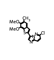 COc1c(C)cc2cc(-c3cnc4ccc(Cl)nn34)sc2c1OC